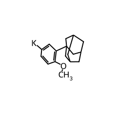 COc1cc[c]([K])cc1C12CC3CC(CC(C3)C1)C2